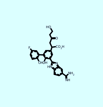 N=C(N)c1ccc2[nH]c(-c3cc(C(CC(=O)CCO)C(=O)O)cc(-c4cc(F)ccc4O)c3O)nc2c1